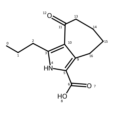 CCCc1[nH]c(C(=O)O)c2c1C(=O)CCCC2